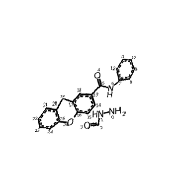 NNC=O.O=C(Nc1ccccc1)c1ccc2c(c1)Cc1ccccc1O2